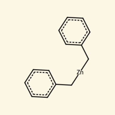 c1ccc([CH2][Zn][CH2]c2ccccc2)cc1